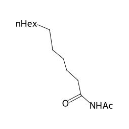 CCCCCCCCCCCC(=O)NC(C)=O